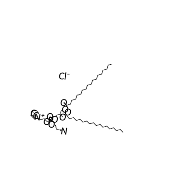 CCCCCCCCCCCCCCCCCC(=O)OCC(COP(=O)(OCCC#N)OCC[N+]12CCC(CC1)CC2)OC(=O)CCCCCCCCCCCCCCCCC.[Cl-]